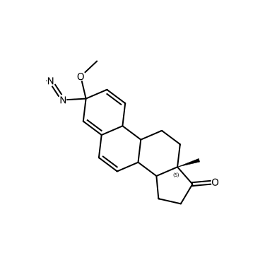 COC1(N=[N])C=CC2C(=C1)C=CC1C2CC[C@]2(C)C(=O)CCC12